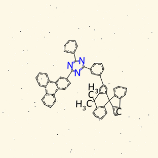 CC1(C)c2ccccc2C2(c3ccccc3-c3ccccc32)c2ccc(-c3cccc(-c4nc(-c5ccccc5)nc(-c5ccc6c7ccccc7c7ccccc7c6c5)n4)c3)cc21